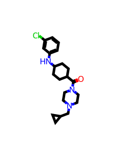 O=C(C1CCC(Nc2cccc(Cl)c2)CC1)N1CCN(CC2CC2)CC1